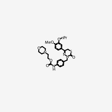 CCCOc1cc(C2=NN(Cc3ccc(NC(=O)OCCN4CCOCC4)cc3)C(=O)SC2)ccc1OC